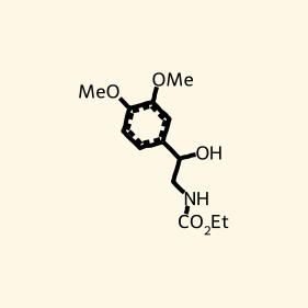 CCOC(=O)NCC(O)c1ccc(OC)c(OC)c1